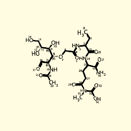 CCC(NC(=O)CO[C@@H]([C@H](O)[C@H](O)CO)[C@H](C=O)NC(C)=O)C(=O)NC(CCC(=O)N(C)C(=O)O)C(N)=O